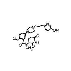 CN(C(=O)c1cc(N2CCN(CCCc3ccc(O)cn3)CC2)ccc1C=O)C1CCC(=O)NC1=O